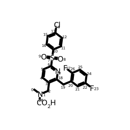 CN(Cc1ccc(S(=O)(=O)c2ccc(Cl)cc2)nc1Cc1cc(F)ccc1F)C(=O)O